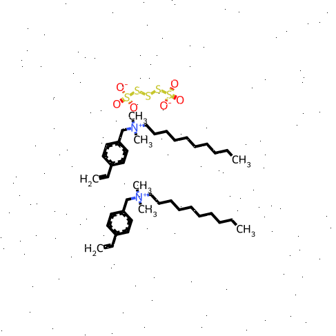 C=Cc1ccc(C[N+](C)(C)CCCCCCCCCC)cc1.C=Cc1ccc(C[N+](C)(C)CCCCCCCCCC)cc1.O=S(=O)([O-])SSSS(=O)(=O)[O-]